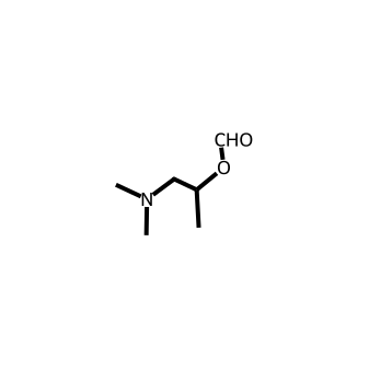 CC(CN(C)C)OC=O